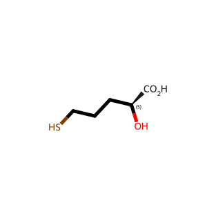 O=C(O)[C@@H](O)CCCS